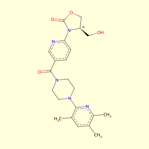 Cc1cc(C)c(N2CCN(C(=O)c3ccc(N4C(=O)OC[C@H]4CO)nc3)CC2)nc1C